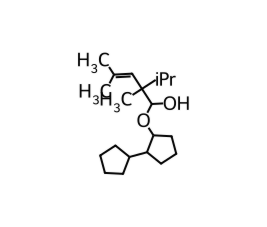 CC(C)=CC(C)(C(C)C)C(O)OC1CCCC1C1CCCC1